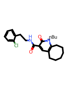 CCCCn1c2c(cc(C(=O)NCCc3ccccc3Cl)c1=O)CCCCCC2